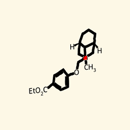 CCOC(=O)c1ccc(OCCC2[C@@H]3CCC[C@H]2CN(C)C3)cc1